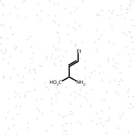 CCC=CC(N)C(=O)O